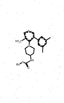 Cc1cc(C)cc(-c2cncc(C(=O)O)c2N2CCC(NC(=O)OC(C)(C)C)CC2)c1